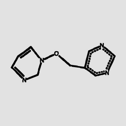 C1=CN(OCc2cncnc2)CN=C1